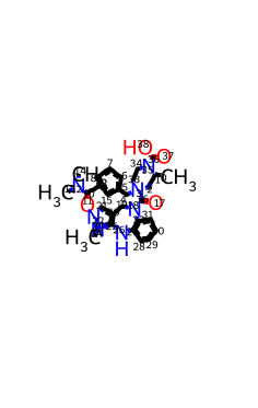 CC1C[N+](Cc2cccc(C(=O)N(C)C)c2)(C(=O)N2Cc3cnn(C)c3Nc3ccccc32)CCN1C(=O)O